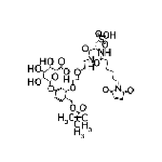 CC(C)(C)C(=O)OCc1ccc(O[C@@H]2O[C@H](C(=O)O)[C@@H](O)[C@H](O)[C@H]2O)cc1OCCOCCNC(=O)[C@H](CS(=O)(=O)O)NC(=O)CCCCCN1C(=O)C=CC1=O